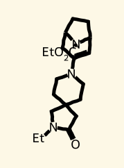 CCOC(=O)N1C2C=C(N3CCC4(CC3)CC(=O)N(CC)C4)CC1CC2